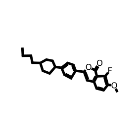 CCCCC1CCC(c2ccc(-c3cc4ccc(OC)c(F)c4c(=O)o3)cc2)CC1